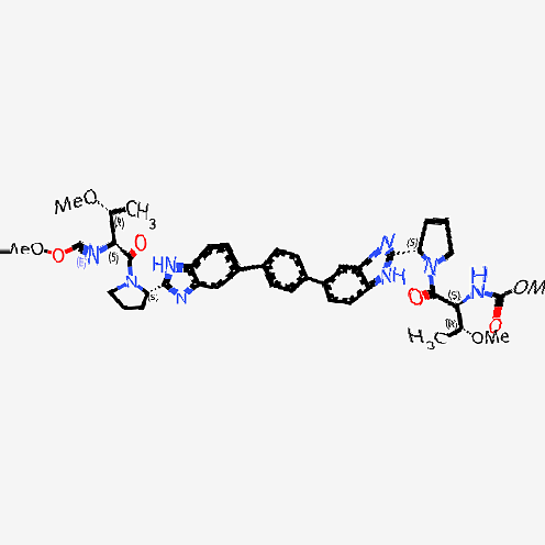 COO/C=N/[C@H](C(=O)N1CCC[C@H]1c1nc2cc(-c3ccc(-c4ccc5[nH]c([C@@H]6CCCN6C(=O)[C@@H](NC(=O)OC)[C@@H](C)OC)nc5c4)cc3)ccc2[nH]1)[C@@H](C)OC